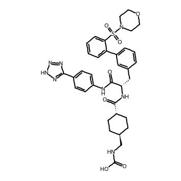 O=C(O)NC[C@H]1CC[C@H](C(=O)N[C@@H](Cc2cccc(-c3ccccc3S(=O)(=O)N3CCOCC3)c2)C(=O)Nc2ccc(-c3nn[nH]n3)cc2)CC1